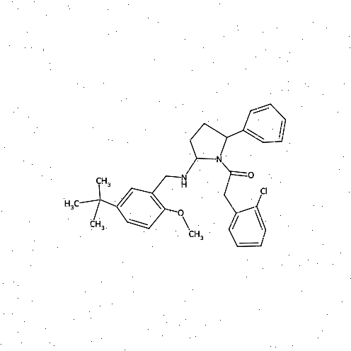 COc1ccc(C(C)(C)C)cc1CNC1CCC(c2ccccc2)N1C(=O)Cc1ccccc1Cl